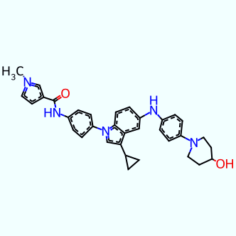 Cn1ccc(C(=O)Nc2ccc(-n3cc(C4CC4)c4cc(Nc5ccc(N6CCC(O)CC6)cc5)ccc43)cc2)c1